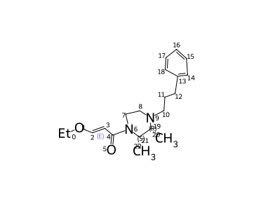 CCO/C=C/C(=O)N1CCN(CCCc2ccccc2)[C@H](C)[C@@H]1C